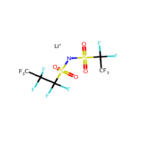 O=S(=O)([N-]S(=O)(=O)C(F)(F)C(F)(F)C(F)(F)F)C(F)(F)C(F)(F)F.[Li+]